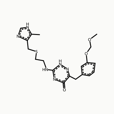 COCOc1cccc(Cc2n[nH]c(NCCSCc3nc[nH]c3C)nc2=O)c1